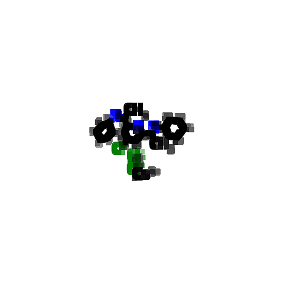 CC(=Nc1ccccc1)c1cc(Cl)cc(C(C)=Nc2ccccc2)n1.[Cl-].[Cl-].[Cl-].[Co+3]